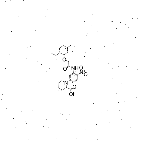 CC1CCC(C(C)C)C(OCC(=O)Nc2cc(N3CCCCC3C(=O)O)ccc2[N+](=O)[O-])C1